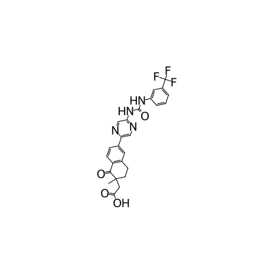 CC1(CC(=O)O)CCc2cc(-c3cnc(NC(=O)Nc4cccc(C(F)(F)F)c4)cn3)ccc2C1=O